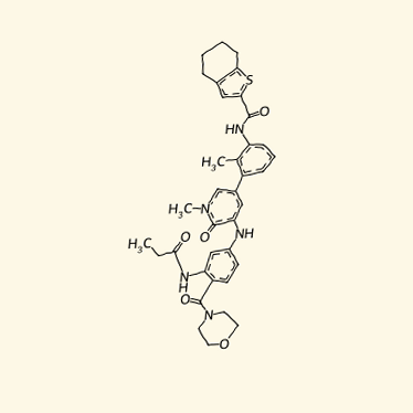 CCC(=O)Nc1cc(Nc2cc(-c3cccc(NC(=O)c4cc5c(s4)CCCC5)c3C)cn(C)c2=O)ccc1C(=O)N1CCOCC1